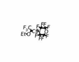 CCO/[C](=[Cf]\[N]1C(F)(F)C(F)(F)OC(F)(F)C1(F)F)C(F)(F)F